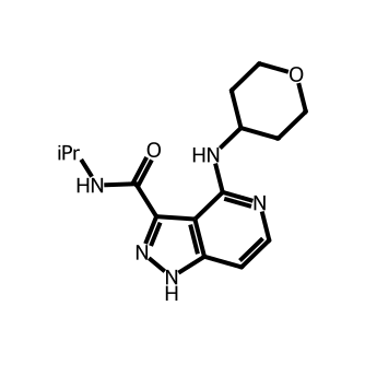 CC(C)NC(=O)c1n[nH]c2ccnc(NC3CCOCC3)c12